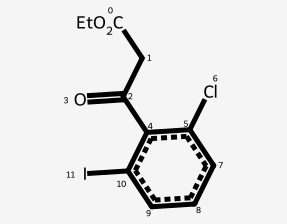 CCOC(=O)CC(=O)c1c(Cl)cccc1I